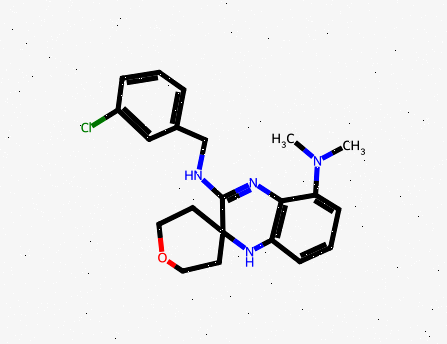 CN(C)c1cccc2c1N=C(NCc1cccc(Cl)c1)C1(CCOCC1)N2